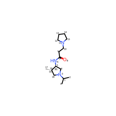 CC(C)N1C[C@H](NC(=O)CCN2CCCC2)[C@@H](C)C1